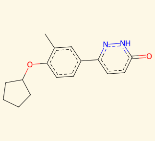 Cc1cc(-c2ccc(=O)[nH]n2)ccc1OC1CCCC1